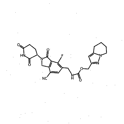 N#Cc1cc(CNC(=O)OCc2cc3n(n2)CCCC3)c(F)c2c1CN(C1CCC(=O)NC1=O)C2=O